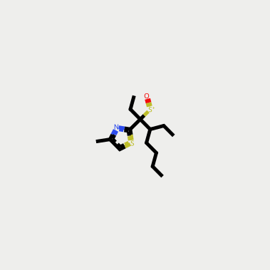 CCCCC(CC)C(CC)([S+]=O)c1nc(C)cs1